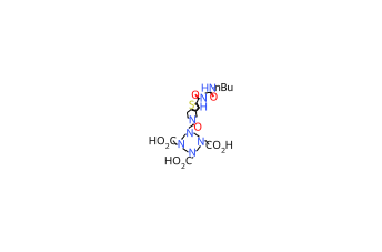 CCCCNC(=O)CNC(=O)c1cc2c(s1)CCN(C(=O)CN1CCN(CC(=O)O)CCN(CC(=O)O)CCN(CC(=O)O)CC1)C2